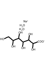 O.O.O=C([O-])C(O)C(O)C(O)C(O)C(O)CO.[Na+]